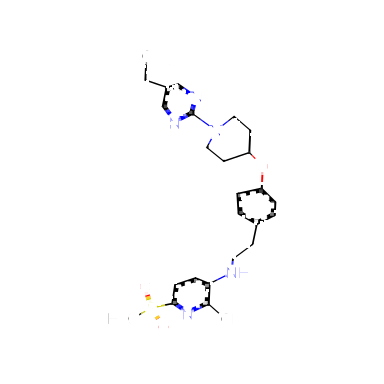 CCc1cnc(N2CCC(Oc3ccc(CCNc4ccc(S(C)(=O)=O)nc4C)cc3)CC2)nc1